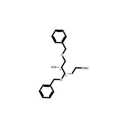 COCC[C@H](OCc1ccccc1)[C@H](O)COCc1ccccc1